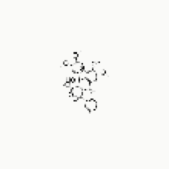 COC(=O)C1=C(C(=O)c2cccc(C)c2)C(=O)c2cc(OC)c(OC)c(OC)c2C1(O)c1ccc(OC)c(OC)c1